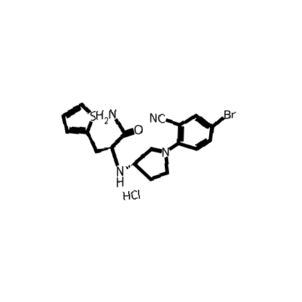 Cl.N#Cc1cc(Br)ccc1N1CC[C@H](N[C@@H](Cc2cccs2)C(N)=O)C1